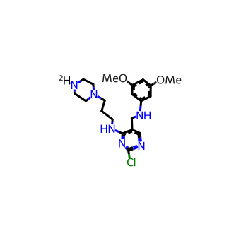 [2H]N1CCN(CCCNc2nc(Cl)ncc2CNc2cc(OC)cc(OC)c2)CC1